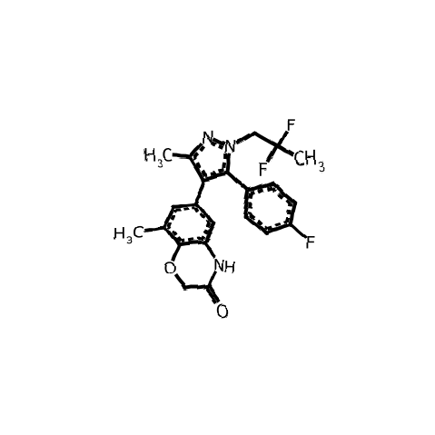 Cc1cc(-c2c(C)nn(CC(C)(F)F)c2-c2ccc(F)cc2)cc2c1OCC(=O)N2